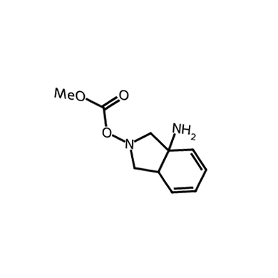 COC(=O)ON1CC2C=CC=CC2(N)C1